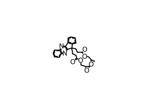 O=C(CCC1(CCC(=O)OCC2CO2)c2ccccc2-c2nc3ccccc3nc21)OCC1CO1